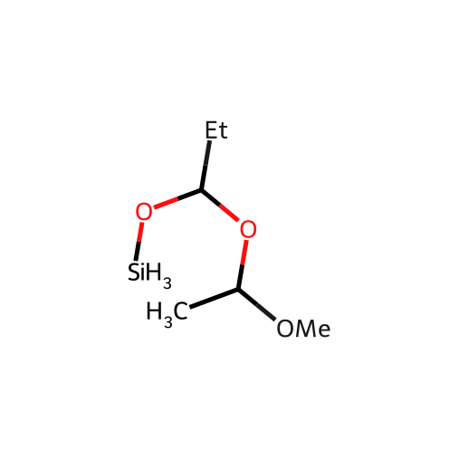 CCC(O[SiH3])OC(C)OC